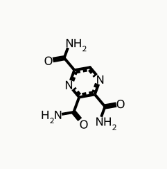 NC(=O)c1cnc(C(N)=O)c(C(N)=O)n1